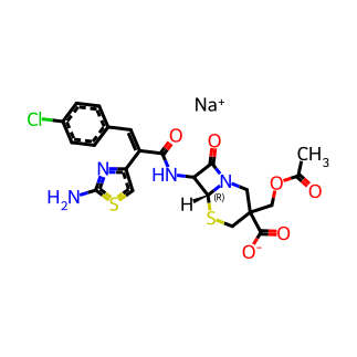 CC(=O)OCC1(C(=O)[O-])CS[C@@H]2C(NC(=O)C(=Cc3ccc(Cl)cc3)c3csc(N)n3)C(=O)N2C1.[Na+]